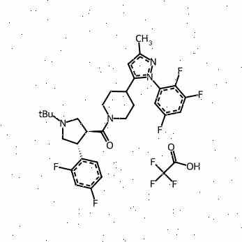 Cc1cc(C2CCN(C(=O)[C@@H]3CN(C(C)(C)C)C[C@H]3c3ccc(F)cc3F)CC2)n(-c2cc(F)cc(F)c2F)n1.O=C(O)C(F)(F)F